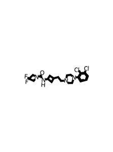 O=C(NC1CC(CCN2CCN(c3cccc(Cl)c3Cl)CC2)C1)N1CC(F)(F)C1